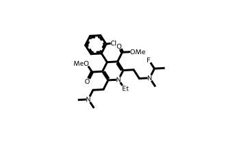 CCN1C(CCN(C)C)=C(C(=O)OC)C(c2ccccc2Cl)C(C(=O)OC)=C1CCN(C)C(C)F